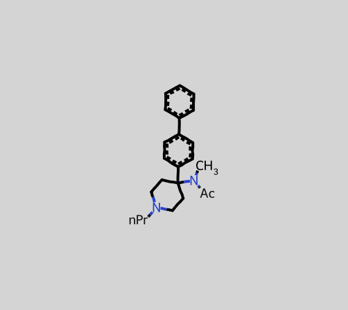 CCCN1CCC(c2ccc(-c3ccccc3)cc2)(N(C)C(C)=O)CC1